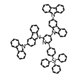 c1ccc([Si](c2ccccc2)(c2ccccc2)c2ccc(-c3cc(-n4c5ccccc5c5cc(-n6c7ccccc7c7ccccc76)ccc54)cc(-n4c5ccccc5c5cc(-n6c7ccccc7c7ccccc76)ccc54)n3)cc2)cc1